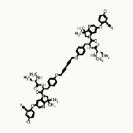 CC[C@H](NC)C(=O)N[C@@H](Cc1ccc(OCC#CC#CCOc2ccc(C[C@H](NC(=O)[C@H](CC)NC)C(=O)N3CC(C)(C)c4ncc(Oc5ccc(Cl)cc5C#N)cc43)cc2)cc1)C(=O)N1CC(C)(C)c2ncc(Oc3ccc(Cl)cc3C#N)cc21